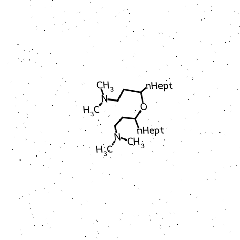 CCCCCCCC(CCN(C)C)OC(CCCCCCC)CCN(C)C